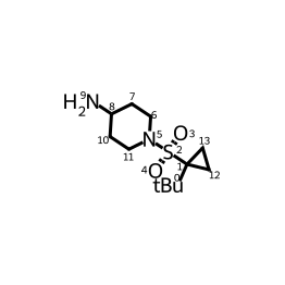 CC(C)(C)C1(S(=O)(=O)N2CCC(N)CC2)CC1